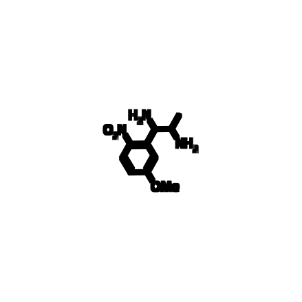 COc1ccc([N+](=O)[O-])c(C(N)C(C)N)c1